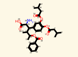 CC(C)CC(=O)Oc1ccc(C(C(C)C(C)OC(=O)c2ccccc2)[C@H](N)C(=O)O)cc1OC(=O)CC(C)C